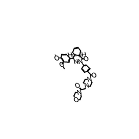 COc1ccc(C2=NN(c3ccc(C(=O)N4CCN(CC(=O)N5CCOCC5)CC4)cc3)C(=O)[C@@H]3CC=CC[C@H]23)cc1OC